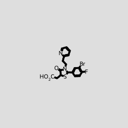 O=C(O)CC1SC(c2ccc(F)c(Br)c2)N(CCc2ccccn2)C1=O